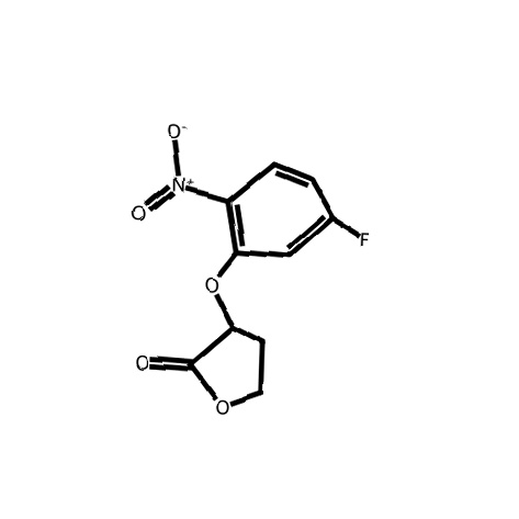 O=C1OCCC1Oc1cc(F)ccc1[N+](=O)[O-]